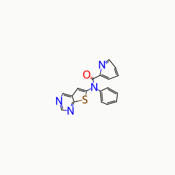 O=C(c1ccccn1)N(c1ccccc1)c1cc2cncnc2s1